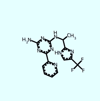 CC(Nc1nc(N)nc(-c2ccccn2)n1)c1nc(C(F)(F)F)c[nH]1